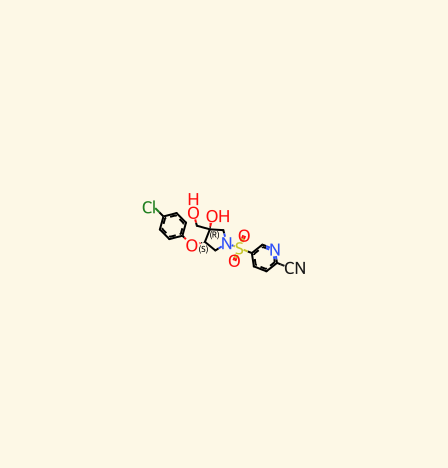 N#Cc1ccc(S(=O)(=O)N2C[C@H](Oc3ccc(Cl)cc3)[C@](O)(CO)C2)cn1